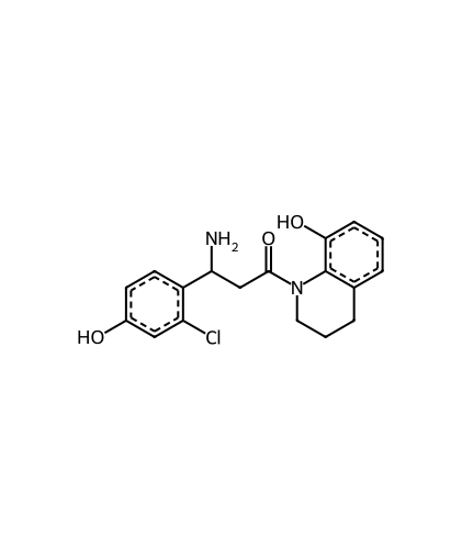 NC(CC(=O)N1CCCc2cccc(O)c21)c1ccc(O)cc1Cl